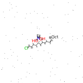 CCCCCCCC/C=C\CCCCCCCCCCl.CCN(O)O